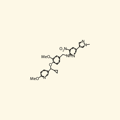 COc1ccc(C(Oc2ccc(CNc3ncc(-c4cnn(C)c4)cc3[N+](=O)[O-])cc2OC)C2CC2)cn1